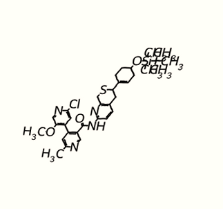 COc1cnc(Cl)cc1-c1cc(C)ncc1C(=O)Nc1ccc2c(n1)CSC(C1=CCC(O[Si](C)(C)C(C)(C)C)CC1)C2